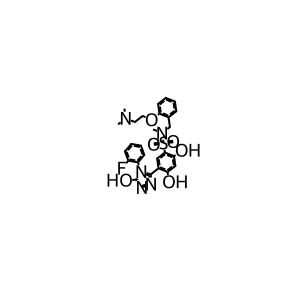 CN(C)CCOc1ccccc1CN(C)S(=O)(=O)c1cc(-c2nnc(O)n2-c2ccccc2F)c(O)cc1O